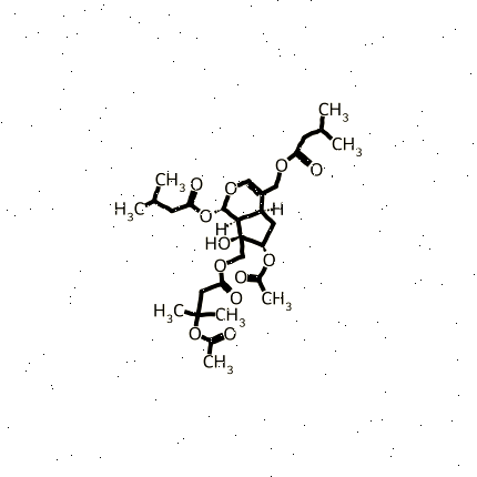 CC(=O)O[C@H]1C[C@@H]2C(COC(=O)CC(C)C)=CO[C@@H](OC(=O)CC(C)C)[C@@H]2[C@@]1(O)COC(=O)CC(C)(C)OC(C)=O